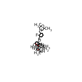 BC(B)(C=O)C(B)(B)C(B)(C(=O)NC)N(C)Cc1c(C=O)cccc1OCc1cccc(CN2CC(C)OC(C)C2)c1F